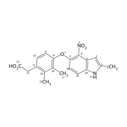 Cc1cc2c([N+](=O)[O-])c(Oc3ccc(CC(=O)O)c(C)c3C)ccc2[nH]1